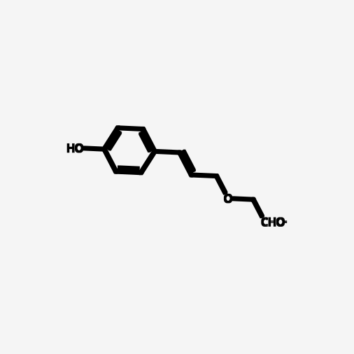 O=[C]COCC=Cc1ccc(O)cc1